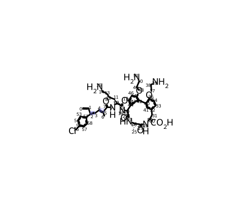 C=C/C(=C\C=C(/C)C(=O)N[C@@H](CCCCN)C(=O)N(C)[C@@H]1C(=O)N[C@@H](C)C(=O)N[C@H](C(=O)O)Cc2ccc(OCCN)c(c2)-c2cc1ccc2OCCN)c1ccc(Cl)cc1